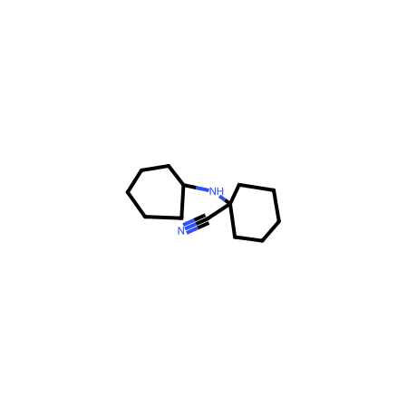 N#CC1(NC2CCCCC2)CCCCC1